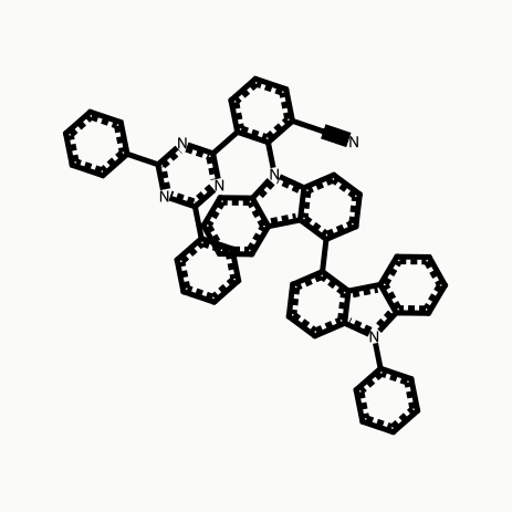 N#Cc1cccc(-c2nc(-c3ccccc3)nc(-c3ccccc3)n2)c1-n1c2ccccc2c2c(-c3cccc4c3c3ccccc3n4-c3ccccc3)cccc21